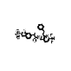 CC(C(=O)NCc1ccc(C(F)(F)F)nc1CCc1ccccc1)c1ccc(CNS(C)(=O)=O)c(F)c1